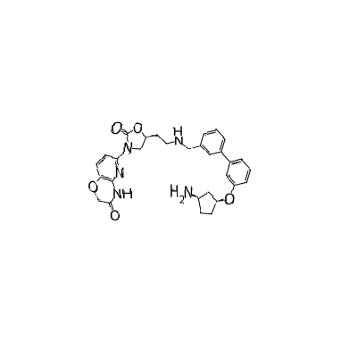 N[C@@H]1CC[C@H](Oc2cccc(-c3cccc(CNCC[C@H]4CN(c5ccc6c(n5)NC(=O)CO6)C(=O)O4)c3)c2)C1